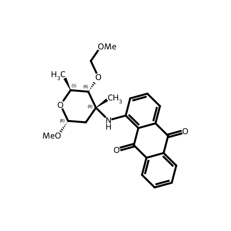 COCO[C@H]1[C@H](C)O[C@@H](OC)C[C@@]1(C)Nc1cccc2c1C(=O)c1ccccc1C2=O